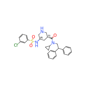 O=C([C@@H]1CNC[C@H](NS(=O)(=O)c2cccc(Cl)c2)C1)N(CC(c1ccccc1)c1ccccc1)C1CC1